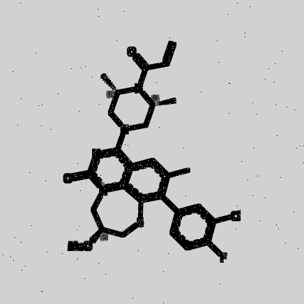 C=CC(=O)N1[C@H](C)CN(c2nc(=O)n3c4c(c(-c5ccc(F)c(Cl)c5)c(C)cc24)SC[C@@H](OC)C3)C[C@@H]1C